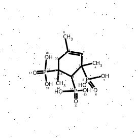 CC1=CC(C)(P(=O)(O)O)C(P(=O)(O)O)C(C)(P(=O)(O)O)C1